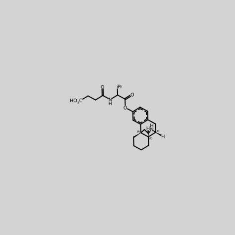 CC(C)C(NC(=O)CCC(=O)O)C(=O)Oc1ccc2c(c1)[C@@]13CCCC[C@H]1[C@@H](C2)NCC3